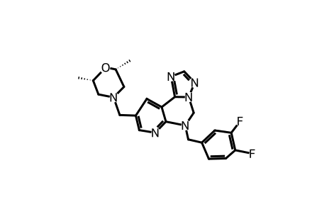 C[C@@H]1CN(Cc2cnc3c(c2)-c2ncnn2CN3Cc2ccc(F)c(F)c2)C[C@H](C)O1